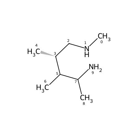 CNC[C@@H](C)C(C)C(C)N